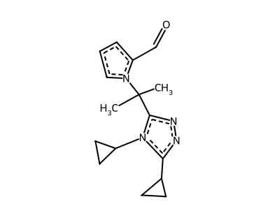 CC(C)(c1nnc(C2CC2)n1C1CC1)n1cccc1C=O